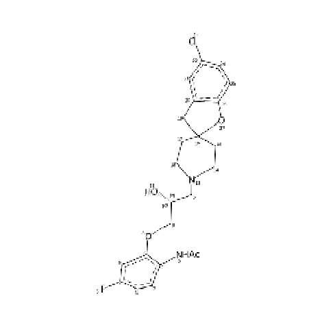 CC(=O)Nc1ccc(F)cc1OC[C@H](O)CN1CCC2(CC1)Cc1cc(Cl)ccc1O2